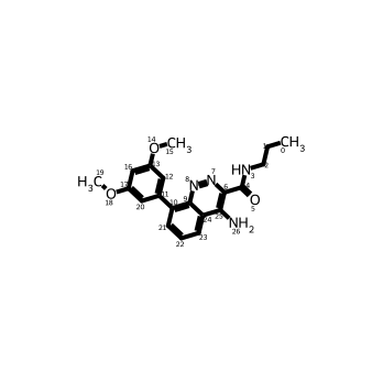 CCCNC(=O)c1nnc2c(-c3cc(OC)cc(OC)c3)cccc2c1N